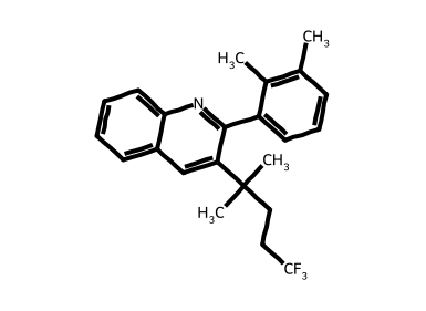 Cc1cccc(-c2nc3ccccc3cc2C(C)(C)CCC(F)(F)F)c1C